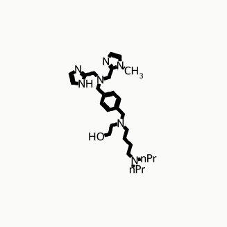 CCCN(CCC)CCCCN(CCO)Cc1ccc(CN(Cc2ncc[nH]2)Cc2nccn2C)cc1